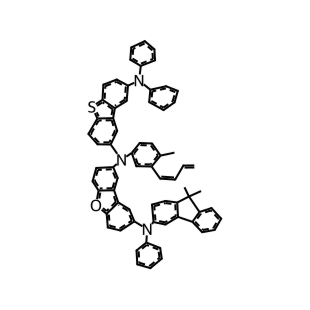 C=C/C=C\c1cc(N(c2ccc3oc4ccc(N(c5ccccc5)c5ccc6c(c5)-c5ccccc5C6(C)C)cc4c3c2)c2ccc3sc4ccc(N(c5ccccc5)c5ccccc5)cc4c3c2)ccc1C